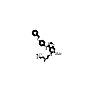 CON1C=c2ncnc(Nc3ccc(OCc4ccccc4)cc3)c2=CC1OCCN(C)CCS(C)(=O)=O